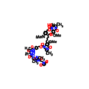 CNc1ccc(COC(=O)N2c3cc(OCCCCCCc4cc5c(cc4OC)C(=O)N4C=C(C)CC4CN5C(=O)OCc4ccc(NC(=O)[C@H](C)NC(=O)[C@@H](NC(=O)CCC(C)OCC(C)(N)NC(=O)CCN5C(=O)C=CC5=O)C(C)C)cc4)c(OC)cc3C(=O)N3C=C(C)C[C@H]3[C@@H]2O)cc1